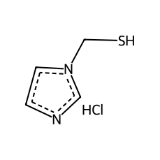 Cl.SCn1ccnc1